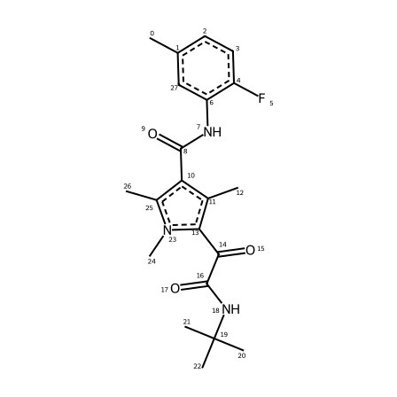 Cc1ccc(F)c(NC(=O)c2c(C)c(C(=O)C(=O)NC(C)(C)C)n(C)c2C)c1